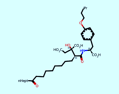 CCCCCCCC(=O)CCCCCCCC[C@H](C(=O)N[C@@H](Cc1ccc(OCCC(C)C)cc1)C(=O)O)[C@@](O)(CC(=O)O)C(=O)O